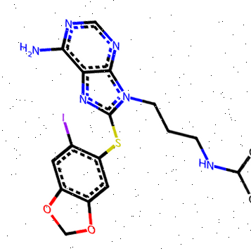 Nc1ncnc2c1nc(Sc1cc3c(cc1I)OCO3)n2CCCNC(C(F)(F)F)C(F)(F)F